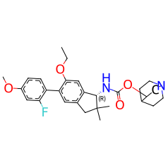 CCOc1cc2c(cc1-c1ccc(OC)cc1F)CC(C)(C)[C@H]2NC(=O)OC1CN2CCC1CC2